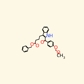 COCOc1ccc(C(=O)c2[nH]c3ccccc3c2CCCC(=O)OCc2ccccc2)cc1